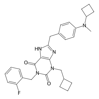 CN(c1ccc(Cc2nc3c([nH]2)c(=O)n(Cc2ccccc2F)c(=O)n3CC2CCC2)cc1)C1CCC1